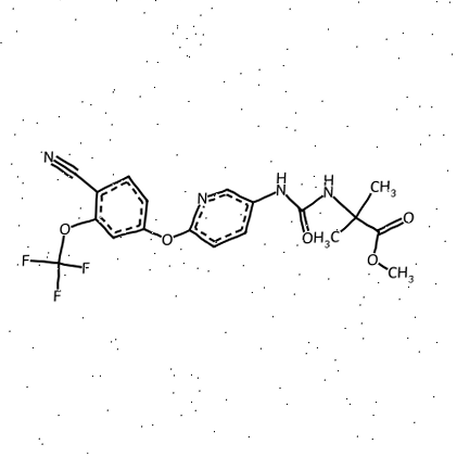 COC(=O)C(C)(C)NC(=O)Nc1ccc(Oc2ccc(C#N)c(OC(F)(F)F)c2)nc1